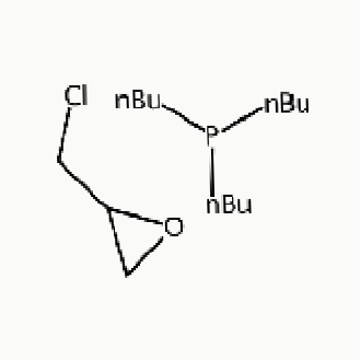 CCCCP(CCCC)CCCC.ClCC1CO1